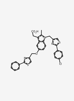 Cc1c(CC(=O)O)c2cc(OCc3csc(-c4ccccc4)n3)ccc2n1Cc1csc(-c2ccc(Cl)cc2)n1